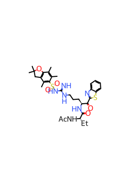 CC[C@H](NC(C)=O)C(=O)N[C@@H](CCCNC(=N)NS(=O)(=O)c1c(C)c(C)c2c(c1C)CC(C)(C)O2)C(=O)c1nc2ccccc2s1